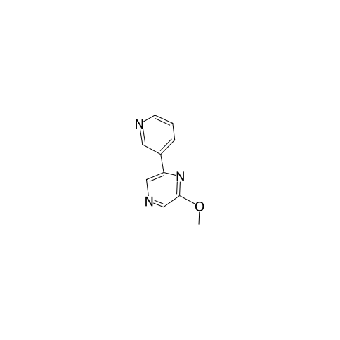 COc1cncc(-c2cccnc2)n1